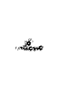 O=C(CN1CCC(Nc2nc(Nc3cccc(C(F)(F)F)c3)nc(OCC(F)(F)F)n2)CC1)NCc1ccncc1